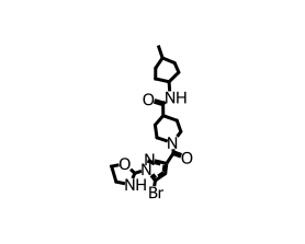 CC1CCC(NC(=O)C2CCN(C(=O)c3cc(Br)n(C4NCCO4)n3)CC2)CC1